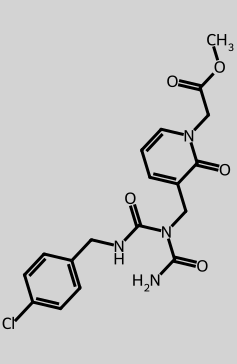 COC(=O)Cn1cccc(CN(C(N)=O)C(=O)NCc2ccc(Cl)cc2)c1=O